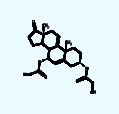 COC(=O)O[C@H]1C=C2C[C@@H](OC(=O)CO)CC[C@]2(C)C2=CC[C@]3(C)C(=O)CCC3C21